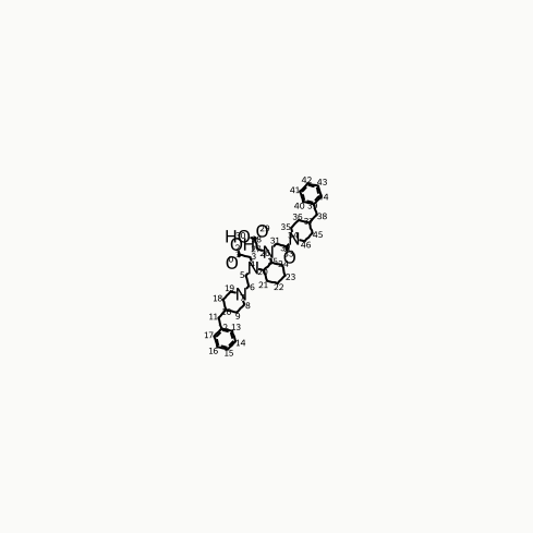 O=C(O)CN(CCN1CCC(Cc2ccccc2)CC1)C1CCCCC1N(CC(=O)O)CC(=O)N1CCC(Cc2ccccc2)CC1